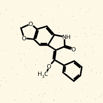 COC(=C1C(=O)Nc2cc3c(cc21)OCO3)c1ccccc1